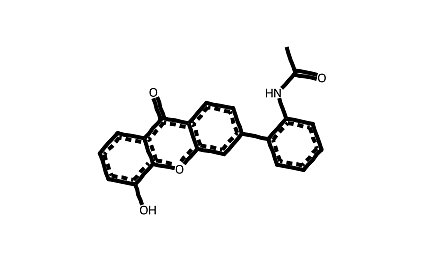 CC(=O)Nc1ccccc1-c1ccc2c(=O)c3cccc(O)c3oc2c1